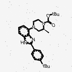 C[C@H]1CN(c2cccc3[nH]c(-c4ccc(C(C)(C)C)cc4)nc23)CCN1C(=O)OC(C)(C)C